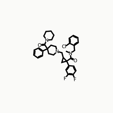 CN(Cc1ccccc1Cl)C(=O)C1(c2ccc(F)c(F)c2)CC1CN1CCC(C(=O)N2CCCCC2)(c2ccccc2)CC1